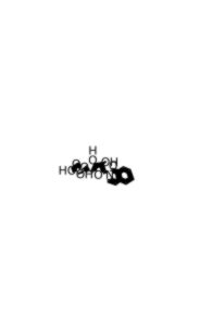 O=c1c2c(ccn1[C@@H]1O[C@H](COP(=O)(O)O)[C@H](O)[C@H]1O)CCCC2